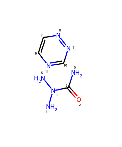 NC(=O)N(N)N.c1cnncn1